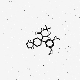 COc1cc(OC)cc(C2(C3C(=O)OC(C)(C)OC3=O)CCC3(CC2)OCCO3)c1